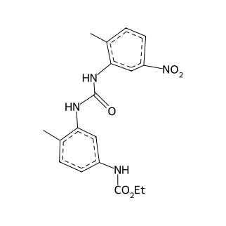 CCOC(=O)Nc1ccc(C)c(NC(=O)Nc2cc([N+](=O)[O-])ccc2C)c1